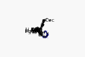 CCCCC/C=C\C/C=C\C/C=C\C/C=C\CCCC(=O)OC[C@H](COP(=O)([O-])OCC[N+](C)(C)C)OC(=O)CCCCCCCCCCCCCCCCCCCC